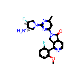 COc1cccc(F)c1-c1nccc2c1CN(c1cc(C)nc(N3C[C@H](N)[C@@H](F)C3)n1)C2=O